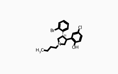 CCCCN1CC(c2cc(Cl)ccc2O)[C@@H](c2ccccc2Br)C1